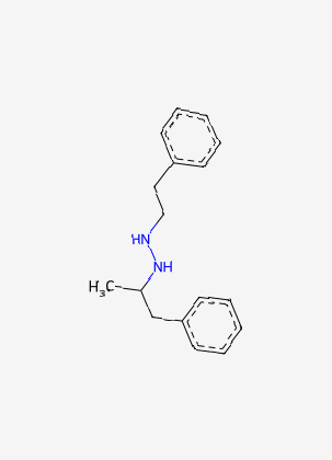 CC(Cc1ccccc1)NNCCc1ccccc1